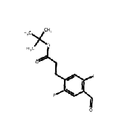 CC(C)(C)OC(=O)CCc1cc(I)c(C=O)cc1F